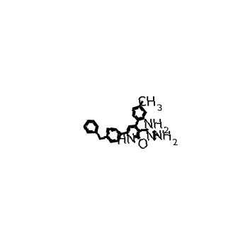 Cc1ccc(-c2cc(-c3ccc(Cc4ccccc4)cc3)[nH]c(=O)c2/C(N)=N/N)cc1